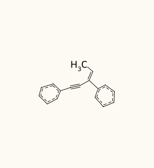 C/C=C(\C#Cc1ccccc1)c1ccccc1